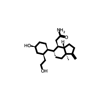 C=C1CC[C@H]2[C@H](CC(N)=O)[C@@H]([C@@H]3CC[C@H](O)C[C@@H]3CCO)CC[C@]12C